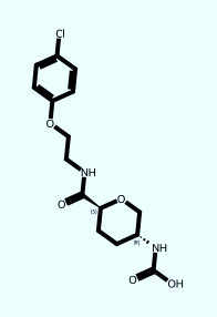 O=C(O)N[C@@H]1CC[C@@H](C(=O)NCCOc2ccc(Cl)cc2)OC1